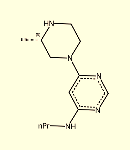 CCCNc1cc(N2CCN[C@@H](C)C2)ncn1